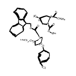 COC(=O)[C@@H]1C[C@H](O)CN1C(=O)OC(C)(C)C.O=C(O)[C@@H]1C[C@@H](Oc2ccc(Cl)cc2)CN1C(=O)OCC1c2ccccc2-c2ccccc21